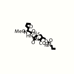 C=CCNC(=O)OCC1=C(C(=O)O)N2C(=O)[C@@H](NC(=O)C(=NOC)c3ccco3)[C@H]2SC1